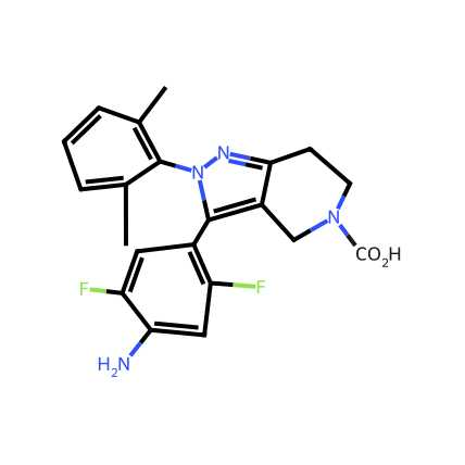 Cc1cccc(C)c1-n1nc2c(c1-c1cc(F)c(N)cc1F)CN(C(=O)O)CC2